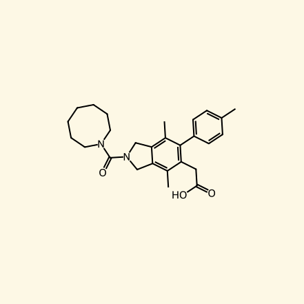 Cc1ccc(-c2c(C)c3c(c(C)c2CC(=O)O)CN(C(=O)N2CCCCCCC2)C3)cc1